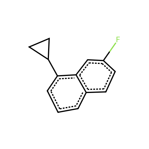 Fc1ccc2cccc(C3CC3)c2c1